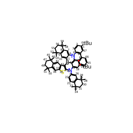 CC(C)(C)c1ccc(N2c3cc4c(cc3B3c5c2cc(C(C)(C)C)cc5N(c2ccc5c(c2)C(C)(C)CCC5(C)C)c2sc5cc6c(cc5c23)C(C)(C)CCC6(C)C)C(C)(C)CCC4(C)C)c(-c2ccccc2)c1